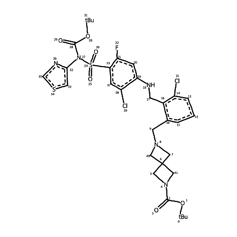 CC(C)(C)OC(=O)N1CC2(CN(Cc3cccc(Cl)c3CNc3cc(F)c(S(=O)(=O)N(C(=O)OC(C)(C)C)c4cscn4)cc3Cl)C2)C1